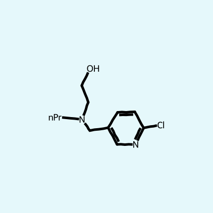 CCCN(CCO)Cc1ccc(Cl)nc1